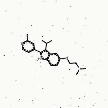 Cc1cc(-c2[nH]c3ccc(OCCN(C)C)cc3c2C(C)C)ccn1